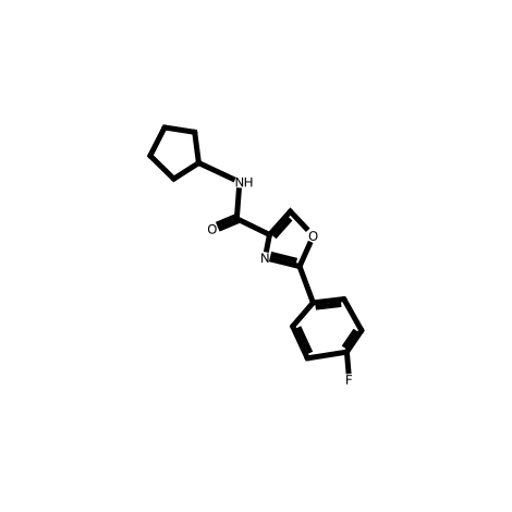 O=C(NC1CCCC1)c1coc(-c2ccc(F)cc2)n1